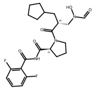 O=CN(O)C[C@@H](CC1CCCC1)C(=O)N1CCC[C@H]1C(=O)NC(=O)c1c(F)cccc1F